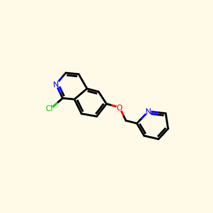 Clc1nccc2cc(OCc3ccccn3)ccc12